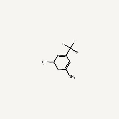 CC1C=C(C(F)(F)F)C=C(N)C1